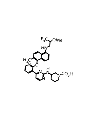 COC(CNc1cccc2c(Oc3ncccc3-c3ccnc(NC4CCCN(C(=O)O)C4)n3)c(C)ccc12)C(F)(F)F